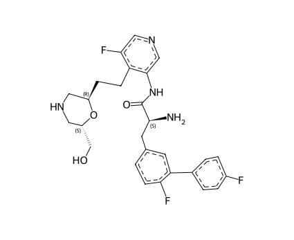 N[C@@H](Cc1ccc(F)c(-c2ccc(F)cc2)c1)C(=O)Nc1cncc(F)c1CC[C@@H]1CNC[C@@H](CO)O1